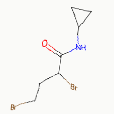 O=C(NC1CC1)C(Br)CCBr